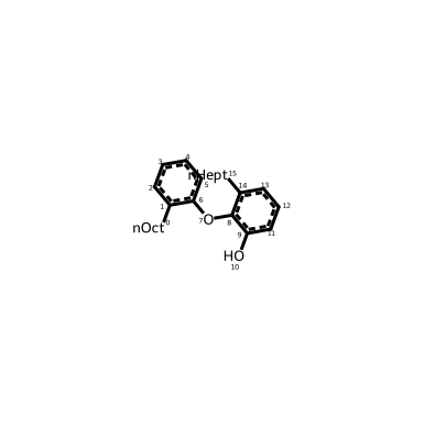 CCCCCCCCc1ccccc1Oc1c(O)cccc1CCCCCCC